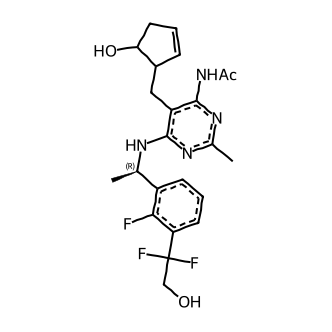 CC(=O)Nc1nc(C)nc(N[C@H](C)c2cccc(C(F)(F)CO)c2F)c1CC1C=CCC1O